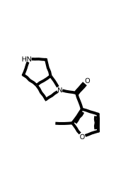 Cc1occc1C(=O)N1CC2CNCC21